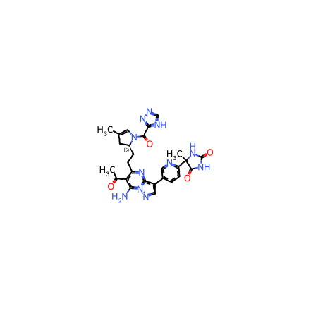 CC(=O)c1c(CC[C@H]2CC(C)=CN2C(=O)c2nnc[nH]2)nc2c(-c3ccc(C4(C)NC(=O)NC4=O)nc3)cnn2c1N